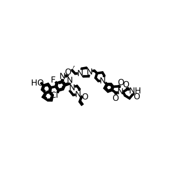 C=CC(=O)N1CCN(c2nc(O[C@H](C)CN3CCN(CC4CCN(c5ccc6c(c5)C(=O)N(C5CCC(=O)NC5=O)C6=O)CC4)CC3)nc3c(F)c(-c4cc(O)cc5ccccc45)c(Cl)cc23)CC1